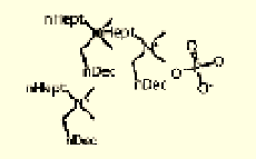 CCCCCCCCCCC[N+](C)(C)CCCCCCC.CCCCCCCCCCC[N+](C)(C)CCCCCCC.CCCCCCCCCCC[N+](C)(C)CCCCCCC.O=P([O-])([O-])[O-]